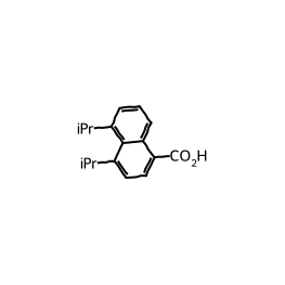 CC(C)c1cccc2c(C(=O)O)ccc(C(C)C)c12